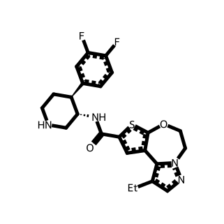 CCc1cnn2c1-c1cc(C(=O)N[C@@H]3CNCC[C@H]3c3ccc(F)c(F)c3)sc1OCC2